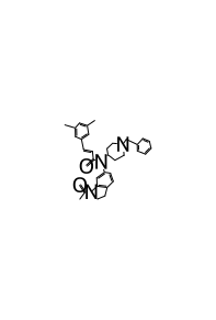 CC(=O)N1CCc2ccc(N(C(=O)C=Cc3cc(C)cc(C)c3)C3CCN(Cc4ccccc4)CC3)cc21